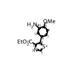 CCOC(=O)c1ncsc1-c1ccc(OC)c(N)c1